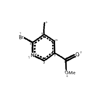 COC(=O)c1cnc(Br)c(C)c1